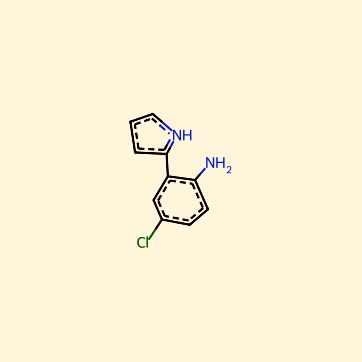 Nc1ccc(Cl)cc1-c1ccc[nH]1